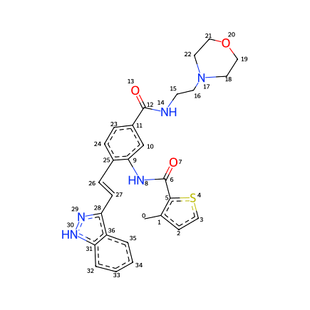 Cc1ccsc1C(=O)Nc1cc(C(=O)NCCN2CCOCC2)ccc1C=Cc1n[nH]c2ccccc12